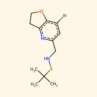 CC(C)(C)SNCc1cc(Br)c2c(n1)CCO2